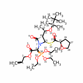 C=CCOC(=O)C(N1C(=O)[C@H]([C@@H](C)O[Si](C)(C)C(C)(C)C)[C@H]1SC(=O)[C@H]1CCCO1)=P(OCC)(OCC)OCC